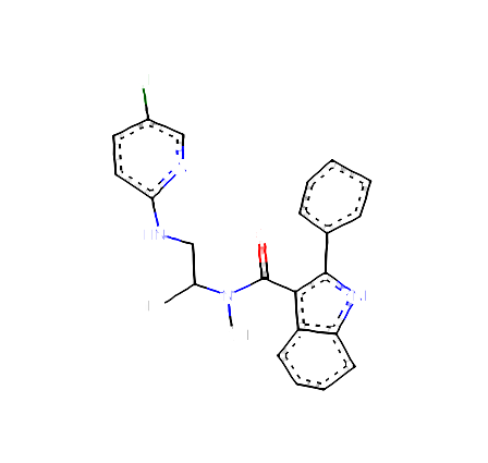 CC(C)C(CNc1ccc(Cl)cn1)N(C)C(=O)c1c(-c2ccccc2)[nH]c2ccccc12